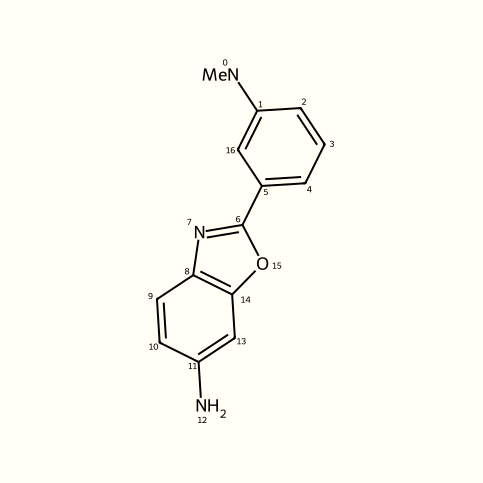 CNc1cccc(-c2nc3ccc(N)cc3o2)c1